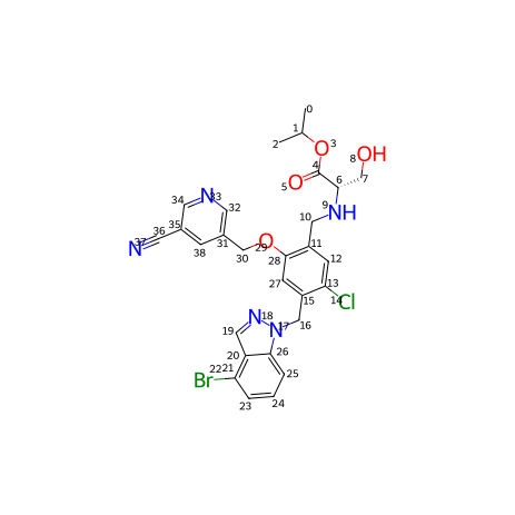 CC(C)OC(=O)[C@H](CO)NCc1cc(Cl)c(Cn2ncc3c(Br)cccc32)cc1OCc1cncc(C#N)c1